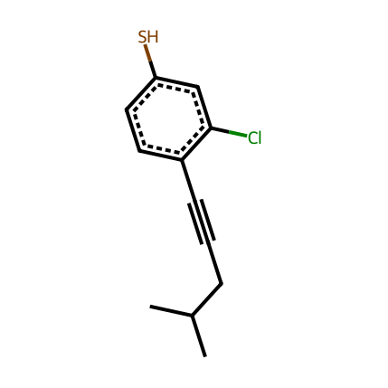 CC(C)CC#Cc1ccc(S)cc1Cl